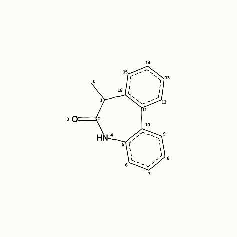 CC1C(=O)Nc2ccccc2-c2ccccc21